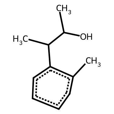 Cc1ccccc1C(C)C(C)O